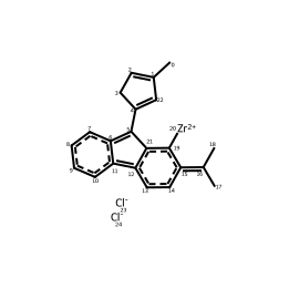 CC1=CCC(C2=c3ccccc3=c3ccc(=C(C)C)[c]([Zr+2])c32)=C1.[Cl-].[Cl-]